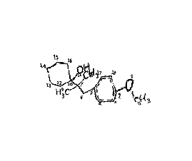 COc1ccc(CC(C)(C)C2(O)CCCCC2)cc1